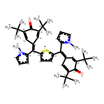 Cn1cccc1C(=C1C=C(C(C)(C)C)C(=O)C(C(C)(C)C)=C1)c1ccc(C(=C2C=C(C(C)(C)C)C(=O)C(C(C)(C)C)=C2)c2cccn2C)s1